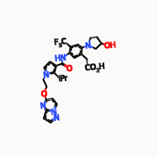 CC(C)c1c(C(=O)Nc2cc(CC(=O)O)c(N3CC[C@@H](O)C3)cc2C(F)(F)F)ccn1CCOc1ccn2nccc2n1